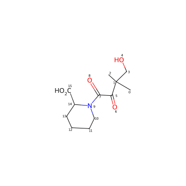 CC(C)(CO)C(=O)C(=O)N1CCCCC1C(=O)O